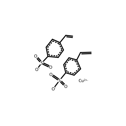 C=Cc1ccc(S(=O)(=O)[O-])cc1.C=Cc1ccc(S(=O)(=O)[O-])cc1.[Cu+2]